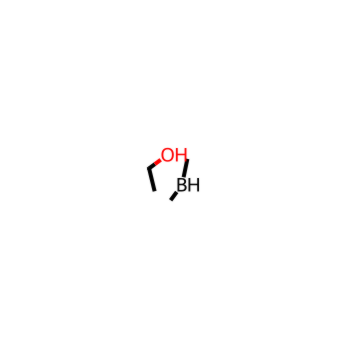 CBC.CCO